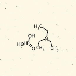 CCN(CC)CC.O=[PH](O)O